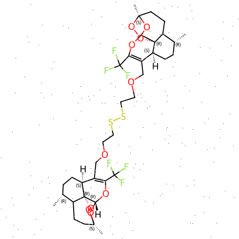 C[C@@H]1CC[C@H]2C(COCCSSCCOCC3=C(C(F)(F)F)O[C@@H]4O[C@]5(C)CCC6[C@H](C)CC[C@@H]3[C@]64OO5)=C(C(F)(F)F)OC3O[C@]4(C)CCC1[C@]32OO4